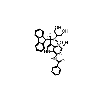 CC(c1c[nH]c2c(NC(=O)c3ccccc3)ncnc12)(C1c2ccccc2-c2ccccc21)N(C(=O)O)C(CO)CO